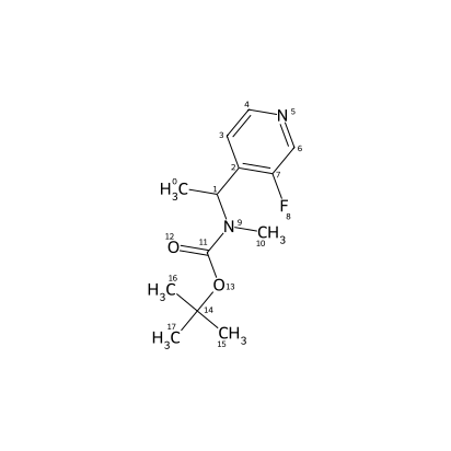 CC(c1ccncc1F)N(C)C(=O)OC(C)(C)C